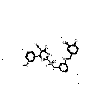 COc1cccc(-c2nc(S(=O)(=O)Cc3cccc(NCc4ccc(Cl)c(Cl)c4)c3)[nH]c(=O)c2C#N)c1